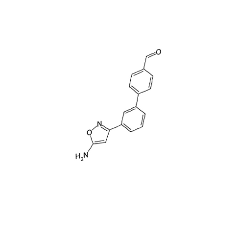 Nc1cc(-c2cccc(-c3ccc(C=O)cc3)c2)no1